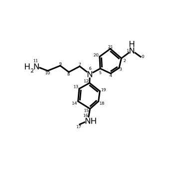 CNc1ccc(N(CCCCN)c2ccc(NC)cc2)cc1